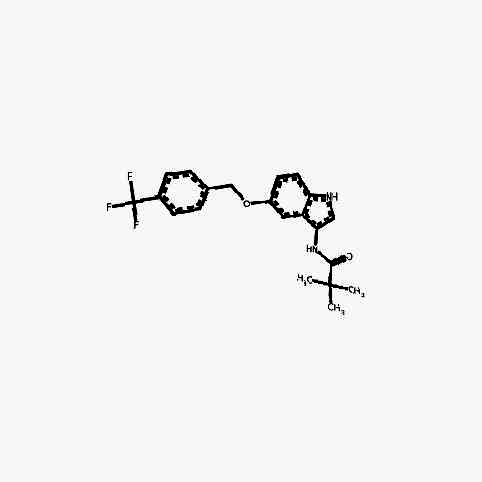 CC(C)(C)C(=O)Nc1c[nH]c2ccc(OCc3ccc(C(F)(F)F)cc3)cc12